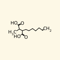 C=CCCCCCC(C(=O)O)C(C)C(=O)O